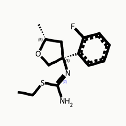 CCS/C(N)=N\[C@@]1(c2ccccc2F)CO[C@H](C)C1